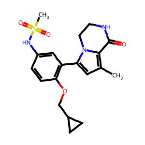 Cc1cc(-c2cc(NS(C)(=O)=O)ccc2OCC2CC2)n2c1C(=O)NCC2